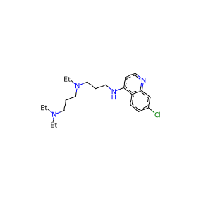 CCN(CC)CCCN(CC)CCCNc1ccnc2cc(Cl)ccc12